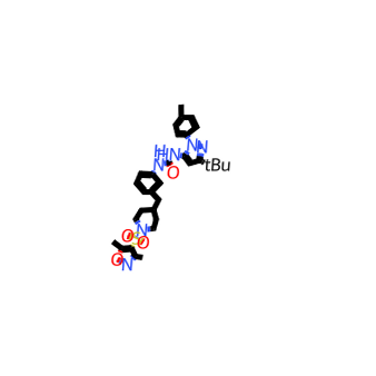 Cc1ccc(-n2nc(C(C)(C)C)cc2NC(=O)Nc2cccc(CC3CCN(S(=O)(=O)c4c(C)noc4C)CC3)c2)cc1